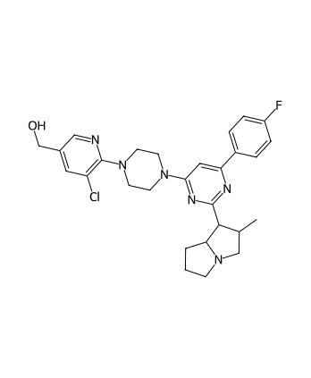 CC1CN2CCCC2C1c1nc(-c2ccc(F)cc2)cc(N2CCN(c3ncc(CO)cc3Cl)CC2)n1